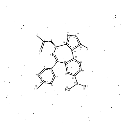 CC(=O)C[C@@H]1N=C(c2ccc(Cl)cc2)c2cc(B(O)O)ccc2-n2c(C)nnc21